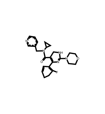 O=C(C1=C(C2=C(F)CCC=C2)N=C(N2CCOCC2)NC1)N(Cc1cccnc1)C1CC1